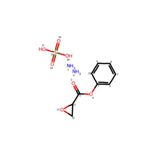 N.N.O=C(Oc1ccccc1)C1CO1.O=S(=O)(O)O